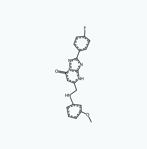 COc1cccc(NCc2cc(=O)n3nc(-c4ccc(F)cc4)nc3[nH]2)c1